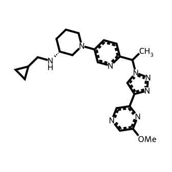 COc1cncc(-c2cn(C(C)c3ccc(N4CCC[C@@H](NCC5CC5)C4)cn3)nn2)n1